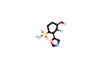 CS(=O)(=O)c1ccc([C]=O)c(Cl)c1-c1cnco1